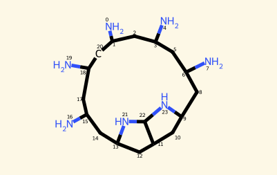 NC1CC(N)CC(N)CC2CC3CC(CC(N)CC(N)C1)NC3N2